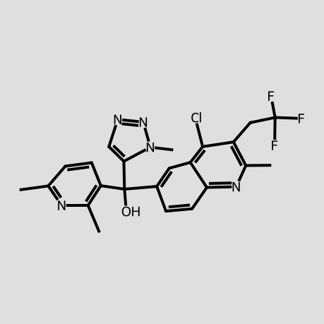 Cc1ccc(C(O)(c2ccc3nc(C)c(CC(F)(F)F)c(Cl)c3c2)c2cnnn2C)c(C)n1